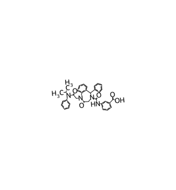 CC(C)N(C(=O)CN1C(=O)CN(C(=O)Nc2cccc(C(=O)O)c2)C(c2ccccc2)c2ccccc21)c1ccccc1